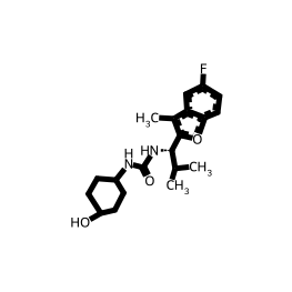 Cc1c([C@@H](NC(=O)NC2CCC(O)CC2)C(C)C)oc2ccc(F)cc12